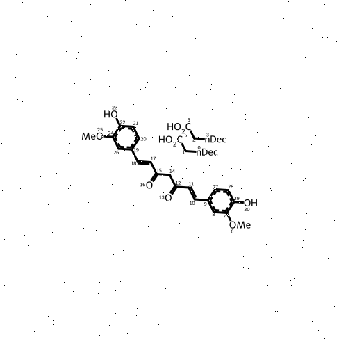 CCCCCCCCCCCC(=O)O.CCCCCCCCCCCC(=O)O.COc1cc(/C=C/C(=O)CC(=O)/C=C/c2ccc(O)c(OC)c2)ccc1O